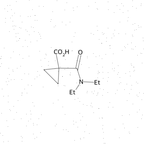 CCN(CC)C(=O)C1(C(=O)O)CC1